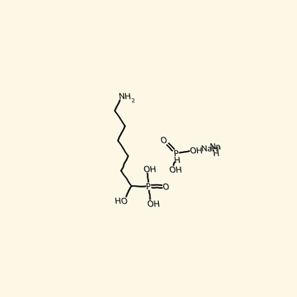 NCCCCCC(O)P(=O)(O)O.O=[PH](O)O.[NaH].[NaH]